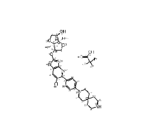 O=C(O)C(F)(F)F.O[C@@H]1CO[C@H]2[C@@H]1OC[C@H]2Oc1nc2nc(-c3ccc(N4CCC5(CCNCC5)CC4)cc3)c(Cl)cc2[nH]1